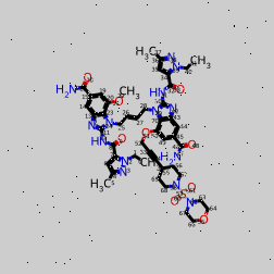 CCn1nc(C)cc1C(=O)Nc1nc2cc(C(N)=O)cc(OC)c2n1CC=CCn1c(NC(=O)c2cc(C)nn2CC)nc2cc(C(N)=O)cc(OCC#CC3CCN(S(=O)(=O)N4CCOCC4)CC3)c21